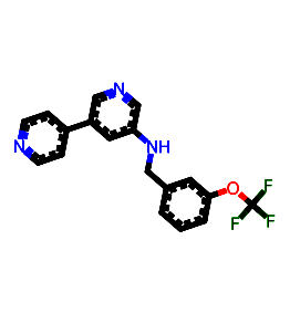 FC(F)(F)Oc1cccc(CNc2cncc(-c3ccncc3)c2)c1